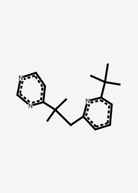 CC(C)(C)c1cccc(CC(C)(C)c2ccncn2)n1